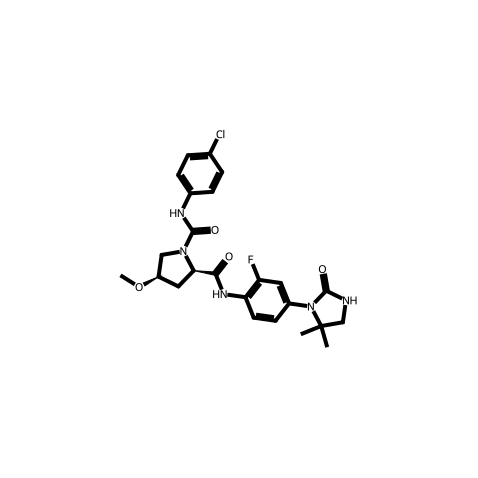 CO[C@@H]1C[C@H](C(=O)Nc2ccc(N3C(=O)NCC3(C)C)cc2F)N(C(=O)Nc2ccc(Cl)cc2)C1